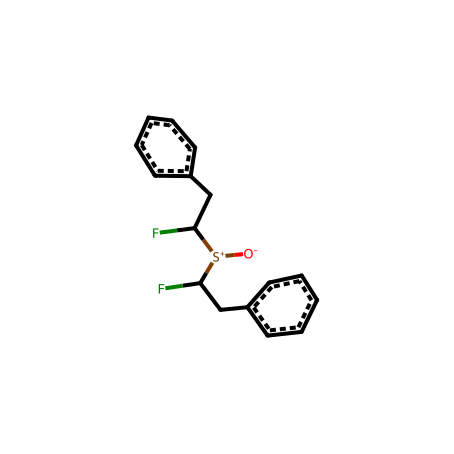 [O-][S+](C(F)Cc1ccccc1)C(F)Cc1ccccc1